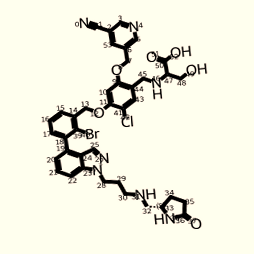 N#Cc1cncc(COc2cc(OCc3cccc(-c4cccc5c4cnn5CCCNC[C@@H]4CCC(=O)N4)c3Br)c(Cl)cc2CNC(CO)C(=O)O)c1